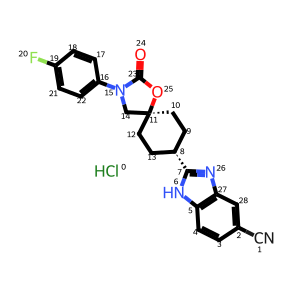 Cl.N#Cc1ccc2[nH]c([C@H]3CC[C@]4(CC3)CN(c3ccc(F)cc3)C(=O)O4)nc2c1